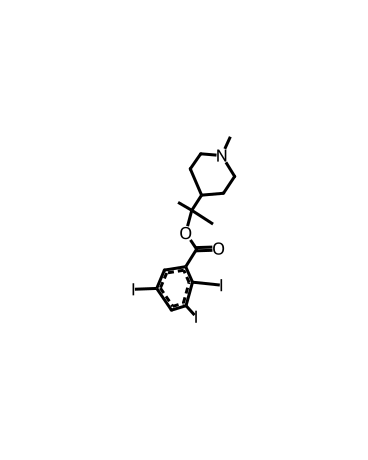 CN1CCC(C(C)(C)OC(=O)c2cc(I)cc(I)c2I)CC1